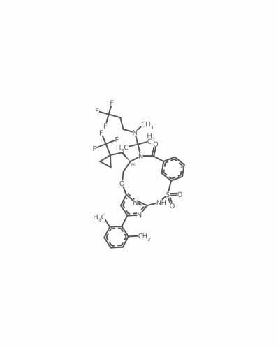 Cc1cccc(C)c1-c1cc2nc(n1)NS(=O)(=O)c1cccc(c1)C(=O)N(C(C)(C)N(C)CCC(F)(F)F)[C@H](CC1(C(F)(F)F)CC1)CO2